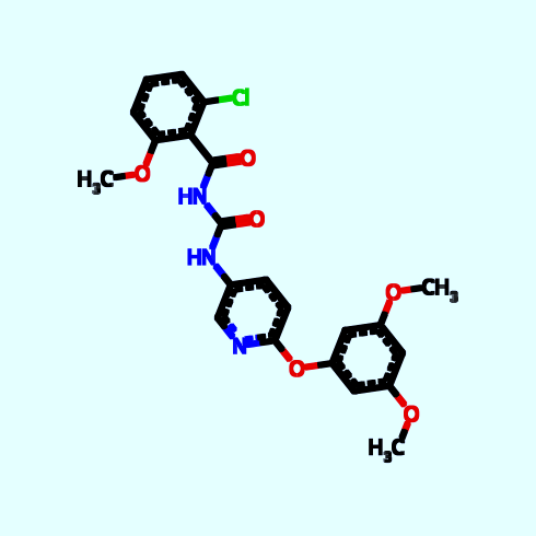 COc1cc(OC)cc(Oc2ccc(NC(=O)NC(=O)c3c(Cl)cccc3OC)cn2)c1